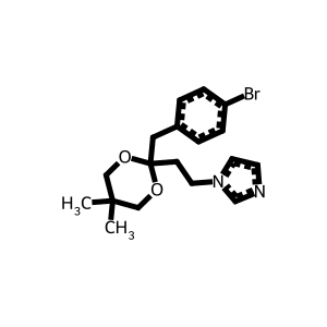 CC1(C)COC(CCn2ccnc2)(Cc2ccc(Br)cc2)OC1